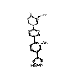 CCC[C@H]1CN(c2ncc(-c3ccc(-c4cn[nH]c4)cc3O)nn2)CCN1